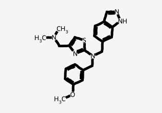 COc1cccc(CN(Cc2ccc3cn[nH]c3c2)c2nc(CN(C)C)cs2)c1